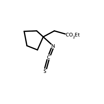 CCOC(=O)CC1(N=C=S)CCCC1